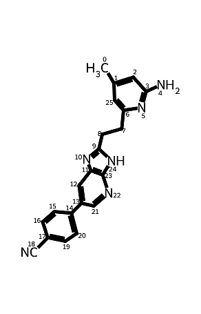 Cc1cc(N)nc(CCc2nc3cc(-c4ccc(C#N)cc4)cnc3[nH]2)c1